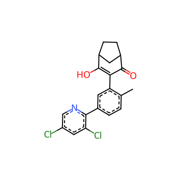 Cc1ccc(-c2ncc(Cl)cc2Cl)cc1C1=C(O)C2CCC(C2)C1=O